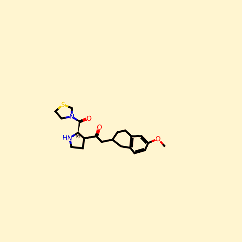 COc1ccc2c(c1)CCC(CC(=O)C1CCN[C@H]1C(=O)N1CCSC1)C2